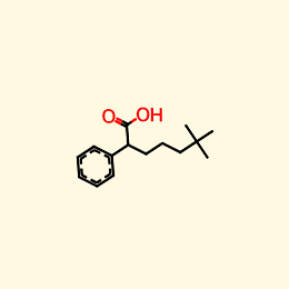 CC(C)(C)CCCC(C(=O)O)c1ccccc1